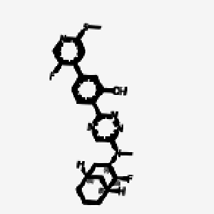 CSc1cc(-c2ccc(-c3ncc(N(C)[C@@H]4C[C@H]5CCC[C@H](C5)[C@@H]4F)nn3)c(O)c2)c(F)cn1